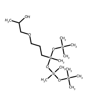 CC(O)COCCC[Si](C)(O[Si](C)(C)C)O[Si](C)(C)O[Si](C)(C)C